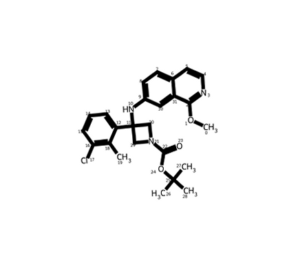 COc1nccc2ccc(NC3(c4cccc(Cl)c4C)CN(C(=O)OC(C)(C)C)C3)cc12